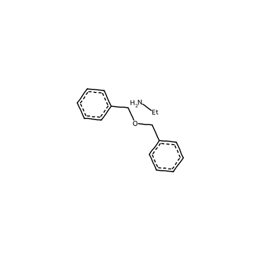 CCN.c1ccc(COCc2ccccc2)cc1